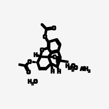 CC(=O)Oc1ccc2c3c1O[C@H]1[C@@H](OC(C)=O)C=C[C@H]4[C@@H](C2)N(C)CC[C@@]341.O.O.O.[AlH3]